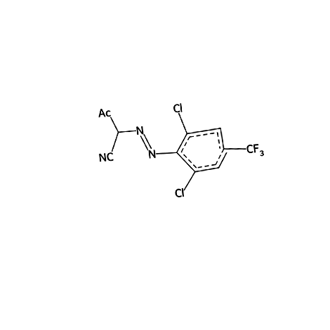 CC(=O)C(C#N)N=Nc1c(Cl)cc(C(F)(F)F)cc1Cl